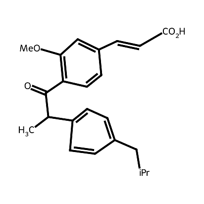 COc1cc(/C=C/C(=O)O)ccc1C(=O)C(C)c1ccc(CC(C)C)cc1